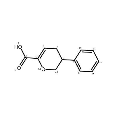 O=C(O)C1=CCC(c2ccccc2)CO1